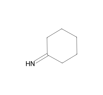 N=C1CCCCC1